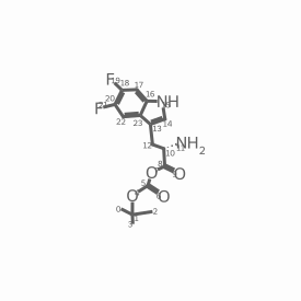 CC(C)(C)OC(=O)OC(=O)[C@@H](N)Cc1c[nH]c2cc(F)c(F)cc12